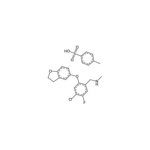 CNCc1cc(F)c(Cl)cc1Oc1ccc2c(c1)CCO2.Cc1ccc(S(=O)(=O)O)cc1